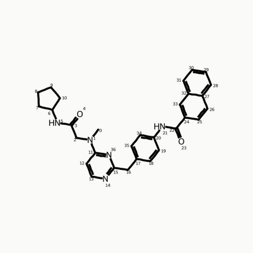 CN(CC(=O)NC1CCCC1)c1[c]cnc(Cc2ccc(NC(=O)c3ccc4ccccc4c3)cc2)n1